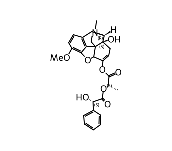 COc1ccc2c3c1OC1C(OC(=O)[C@H](C)OC(=O)[C@@H](O)c4ccccc4)=CC[C@@]4(O)[C@@H](C2)N(C)CCC314